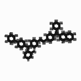 Cc1ccccc1N(c1ccc(/C=C/c2ccc(N(c3ccccc3)c3ccc4ccccc4c3)cc2)cc1)c1ccc(-c2ccccc2)cc1